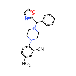 N#Cc1cc([N+](=O)[O-])ccc1N1CCN(C(c2ccccc2)c2ncco2)CC1